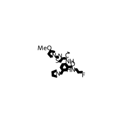 C=C=C(Nc1ccc(CN2CCCC2)cc1C(=O)NCCCF)C1CSC(N2CC[C@H](OC)C2)=N1